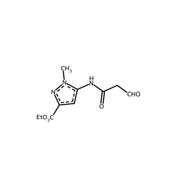 CCOC(=O)c1cc(NC(=O)CC=O)n(C)n1